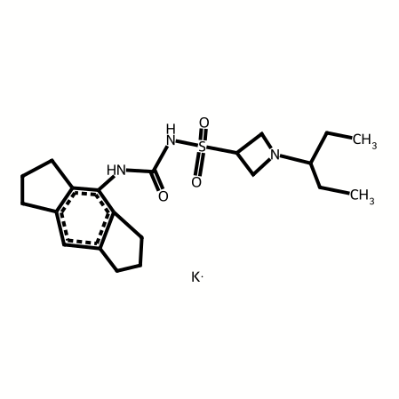 CCC(CC)N1CC(S(=O)(=O)NC(=O)Nc2c3c(cc4c2CCC4)CCC3)C1.[K]